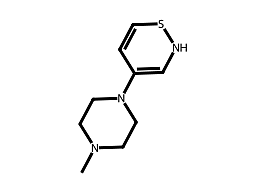 CN1CCN(C2=CNSC=C2)CC1